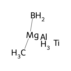 [AlH3].[BH2][Mg][CH3].[Ti]